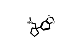 CNCC1(c2ccc3c(c2)OCO3)CCCC1